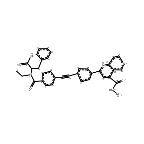 CCN(C(=O)c1ccc(C#Cc2ccc(-c3cc(C(=O)NN)c4cnccc4n3)cc2)cc1)C(Cc1ccccc1)C(=O)O